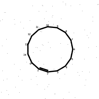 [CH]1C=CCCCCCCCCCCCC1